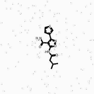 CC(C)CC(=O)Nc1onc(-c2ccsc2)c1C(N)=O